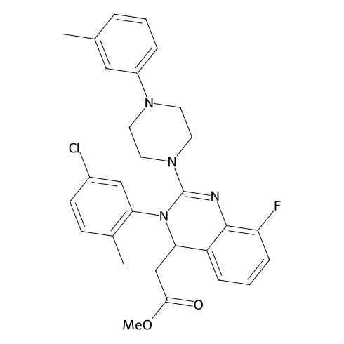 COC(=O)CC1c2cccc(F)c2N=C(N2CCN(c3cccc(C)c3)CC2)N1c1cc(Cl)ccc1C